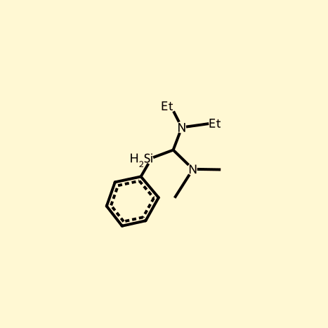 CCN(CC)C([SiH2]c1ccccc1)N(C)C